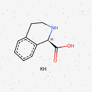 O=C(O)[C@@H]1NCCc2ccccc21.[KH]